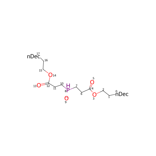 CCCCCCCCCCCCOC(=O)CC[PH](=O)CCC(=O)OCCCCCCCCCCCC